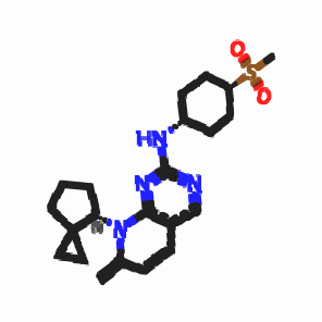 C=C1C=Cc2cnc(N[C@H]3CC[C@H](S(C)(=O)=O)CC3)nc2N1[C@H]1CCCC12CC2